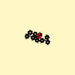 C1=CCC(C2(c3ccccc3)c3cc(-n4c5ccccc5c5ccccc54)ccc3-c3ccc4c5ccc(-n6c7ccccc7c7ccccc76)cc5n(-c5ccccc5)c4c32)C=C1